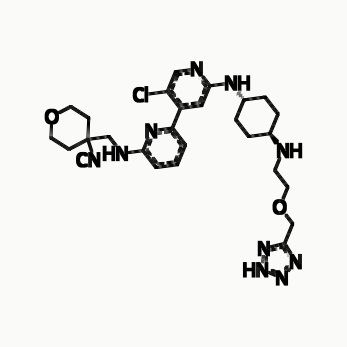 N#CC1(CNc2cccc(-c3cc(N[C@H]4CC[C@H](NCCOCc5nn[nH]n5)CC4)ncc3Cl)n2)CCOCC1